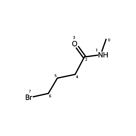 CNC(=O)CCCBr